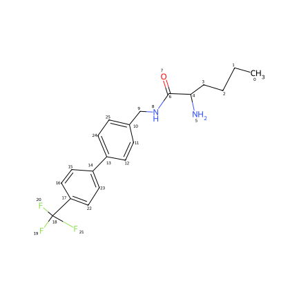 CCCCC(N)C(=O)NCc1ccc(-c2ccc(C(F)(F)F)cc2)cc1